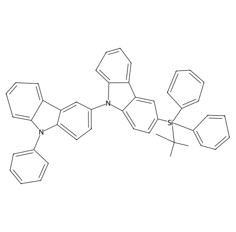 CC(C)(C)[Si](c1ccccc1)(c1ccccc1)c1ccc2c(c1)c1ccccc1n2-c1ccc2c(c1)c1ccccc1n2-c1ccccc1